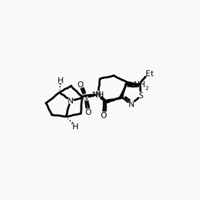 CCc1cc(C(=O)NC2C[C@H]3CC[C@@H](C2)N3S(=O)(=O)N2CCC(N)CC2)ns1